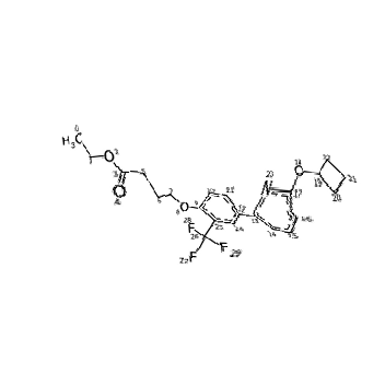 CCOC(=O)CCCOc1ccc(-c2cccc(OC3CCC3)n2)cc1C(F)(F)F